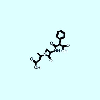 CC(=CC(=O)O)N1CC(NC(=O)C(C(=O)O)c2ccccc2)C1=O